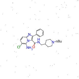 CCCCN1CCC(CNC(=O)c2c(-c3ccccc3)nc3ccc(Cl)c(N)n23)CC1